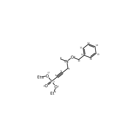 CCOP(=O)(C#CCN(C)OCc1ccccc1)OCC